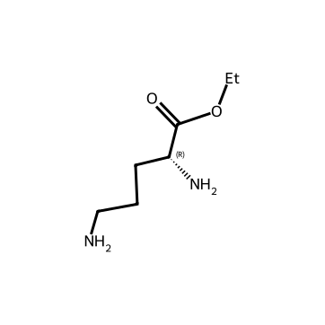 CCOC(=O)[C@H](N)CCCN